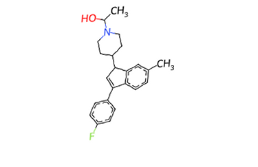 Cc1ccc2c(c1)C(C1CCN(C(C)O)CC1)C=C2c1ccc(F)cc1